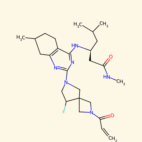 C=CC(=O)N1CC2(C1)CN(c1nc3c(c(N[C@H](CC(=O)NC)CC(C)C)n1)CCC(C)C3)CC2F